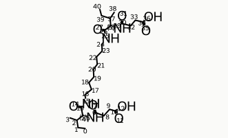 CCC(C)[C@H](NC(=O)CCC(=O)O)C(=O)NCCCCCCCCCNC(=O)[C@@H](NC(=O)CCC(=O)O)C(C)CC